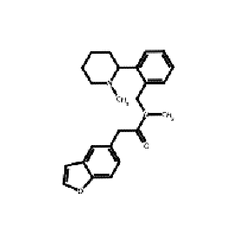 CN(Cc1ccccc1C1CCCCN1C)C(=O)Cc1ccc2occc2c1